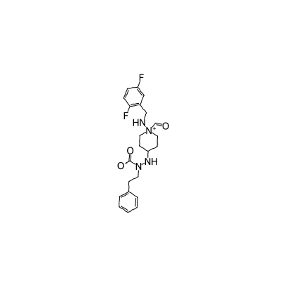 O=C[N+]1(NCc2cc(F)ccc2F)CCC(NN(CCc2ccccc2)C(=O)[O-])CC1